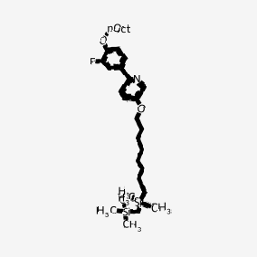 CCCCCCCCOc1ccc(-c2ccc(OCCCCCCCC[Si](C)(C)C[Si](C)(C)C)cn2)cc1F